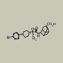 CC(C)(C(=O)NC1C2CC3CC1CC(C(=O)O)(C3)C2)N1CCN(c2ccc(Br)cc2)CC1